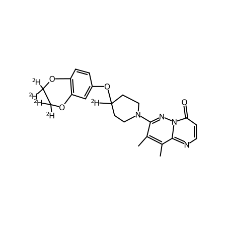 [2H]C1(Oc2ccc3c(c2)OC([2H])([2H])C([2H])([2H])O3)CCN(c2nn3c(=O)ccnc3c(C)c2C)CC1